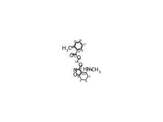 CN[C@@H]1CCCc2onc(OCOC(=O)c3ccccc3C)c21